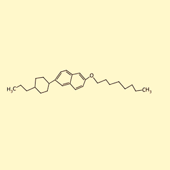 CCCCCCCCOc1ccc2cc(C3CCC(CCC)CC3)ccc2c1